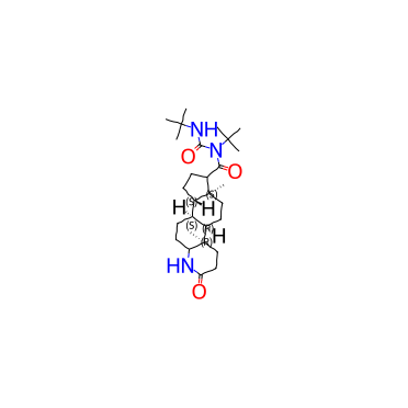 CC(C)(C)NC(=O)N(C(=O)C1CC[C@H]2[C@@H]3CCC4NC(=O)CC[C@]4(C)[C@@H]3CC[C@]12C)C(C)(C)C